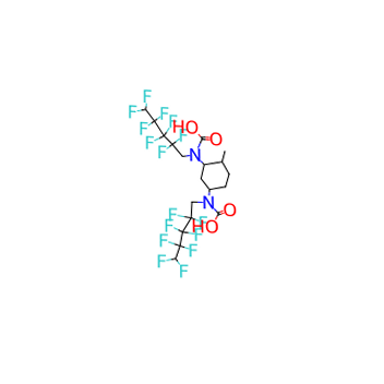 CC1CCC(N(CC(F)(F)C(F)(F)C(F)(F)C(F)F)C(=O)O)CC1N(CC(F)(F)C(F)(F)C(F)(F)C(F)F)C(=O)O